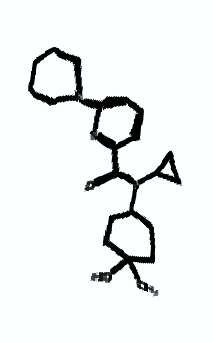 CC1(O)CCC(N(C(=O)c2cccc(N3CCCCC3)n2)C2CC2)CC1